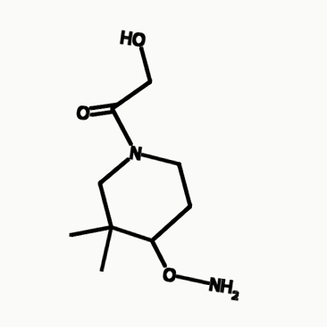 CC1(C)CN(C(=O)CO)CCC1ON